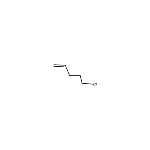 C=C[CH]CCCl